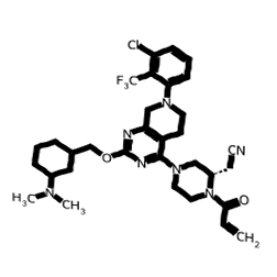 C=CC(=O)N1CCN(c2nc(OCC3CCCC(N(C)C)C3)nc3c2CCN(c2cccc(Cl)c2C(F)(F)F)C3)C[C@@H]1CC#N